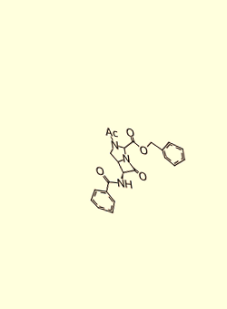 CC(=O)N1CC2[C@H](NC(=O)c3ccccc3)C(=O)N2C1C(=O)OCc1ccccc1